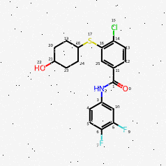 O=C(Nc1ccc(F)c(F)c1)c1ccc(Cl)c(SC2CCC(O)CC2)c1